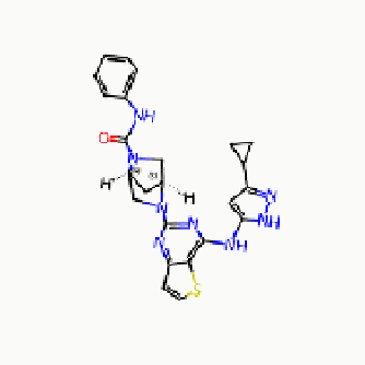 O=C(Nc1ccccc1)N1C[C@@H]2C[C@H]1CN2c1nc(Nc2cc(C3CC3)n[nH]2)c2sccc2n1